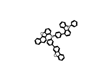 c1ccc(-n2c3ccccc3c3c(-c4ccc(N(c5cccc(-c6ccc7c(c6)oc6ccccc67)c5)c5cccc6oc7c8ccccc8ccc7c56)cc4)cccc32)cc1